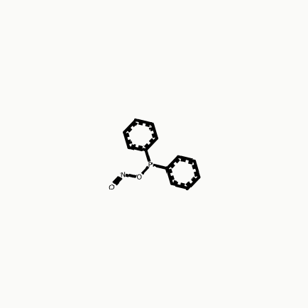 O=NOP(c1ccccc1)c1ccccc1